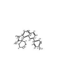 CN1C(=O)C2(CCOCC2)c2c1cnc1ccc(-c3ccc(F)nc3)cc21